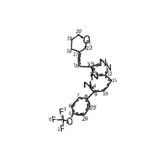 FC(F)(F)Oc1ccc(-c2ccc3nnc(/C=C4/CCCOC4)n3n2)cc1